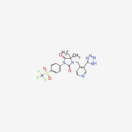 CC1(C)C(=O)N(c2ccc(S(=O)(=O)C(F)(F)F)cc2)C(=O)N1Cc1ccncc1-c1nnn[nH]1